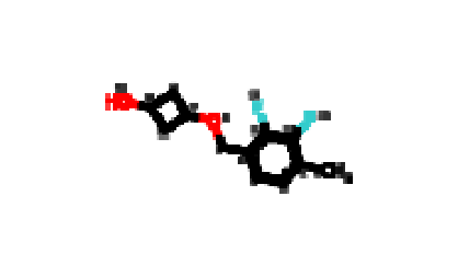 Cc1ccc(COC2CC(O)C2)c(F)c1F